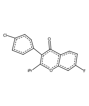 CC(C)c1oc2cc(F)ccc2c(=O)c1-c1ccc(Cl)cc1